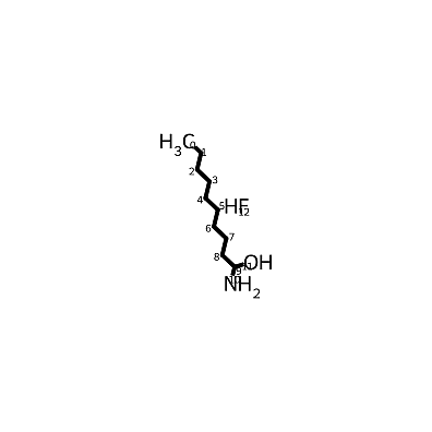 CCCCCCCCCC(N)O.F